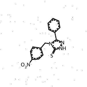 O=[N+]([O-])c1ccc(Cn2c(-c3ccccc3)n[nH]c2=S)cc1